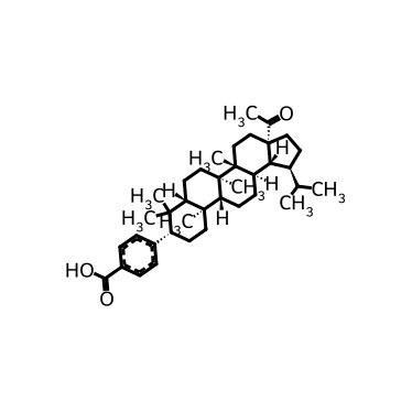 CC(=O)[C@]12CC[C@@H](C(C)C)[C@@H]1[C@H]1CC[C@@H]3[C@@]4(C)CC[C@H](c5ccc(C(=O)O)cc5)C(C)(C)[C@@H]4CC[C@@]3(C)[C@]1(C)CC2